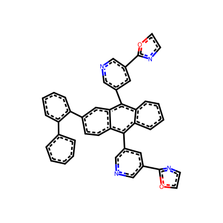 c1ccc(-c2ccccc2-c2ccc3c(-c4cncc(-c5ncco5)c4)c4ccccc4c(-c4cncc(-c5ncco5)c4)c3c2)cc1